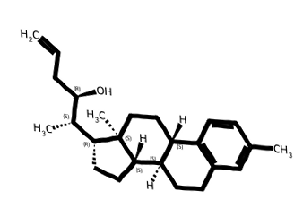 C=CC[C@@H](O)[C@@H](C)[C@H]1CC[C@H]2[C@@H]3CCc4cc(C)ccc4[C@H]3CC[C@]12C